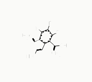 C=Cc1c(F)c(F)c(F)c(C(=C)C)c1/C=C/C